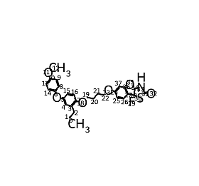 CCCc1cc(Oc2ccc(OC)cc2)ccc1OCCCCOc1ccc(C2(F)SC(=O)NC2=O)cc1